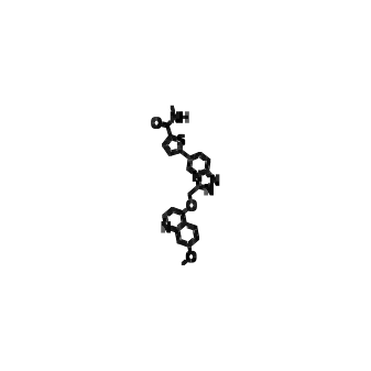 CNC(=O)c1ccc(-c2ccc3nnc(COc4ccnc5cc(OC)ccc45)n3c2)s1